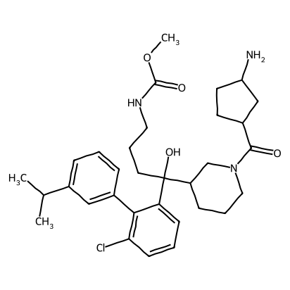 COC(=O)NCCCC(O)(c1cccc(Cl)c1-c1cccc(C(C)C)c1)C1CCCN(C(=O)C2CCC(N)C2)C1